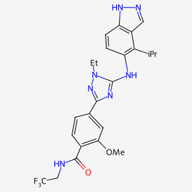 CCn1nc(-c2ccc(C(=O)NCC(F)(F)F)c(OC)c2)nc1Nc1ccc2[nH]ncc2c1C(C)C